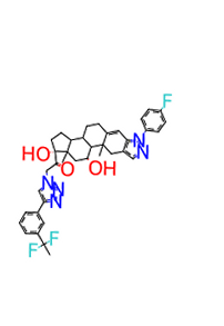 CC(F)(F)c1cccc(-c2cn(CC(=O)[C@@]3(O)CCC4C5CCC6=Cc7c(cnn7-c7ccc(F)cc7)CC6(C)C5[C@@H](O)CC43C)nn2)c1